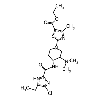 CCOC(=O)c1sc(N2CCC(NC(=O)c3nc(Cl)c(CC)[nH]3)C(N(C)C)C2)nc1C